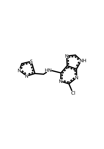 Clc1nc(NCc2nncs2)c2nc[nH]c2n1